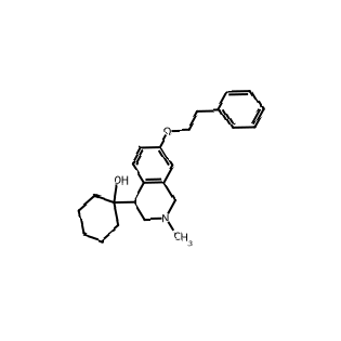 CN1Cc2cc(OCCc3ccccc3)ccc2C(C2(O)CCCCC2)C1